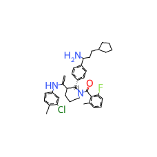 C=C(Nc1ccc(C)c(Cl)c1)C1CCCN(C(=O)c2c(C)cccc2F)[C@H]1c1ccc(C(N)CCC2CCCC2)cc1